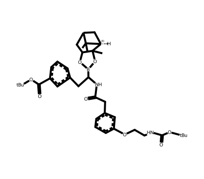 CC(C)(C)OC(=O)NCCOc1cccc(CC(=O)NC(Cc2cccc(C(=O)OC(C)(C)C)c2)B2OC3CC4C[C@H](C4(C)C)C3(C)O2)c1